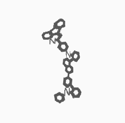 c1ccc(-n2c3ccccc3c3cc(-c4ccc5c(ccc6c5c5ccccc5n6-c5ccc(-c6cc7c8c(cccc8n6)-c6ccccc6-7)cc5)c4)ccc32)cc1